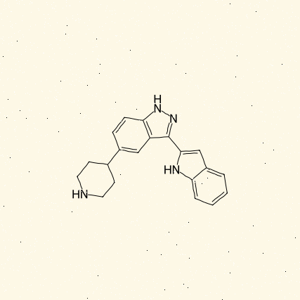 c1ccc2[nH]c(-c3n[nH]c4ccc(C5CCNCC5)cc34)cc2c1